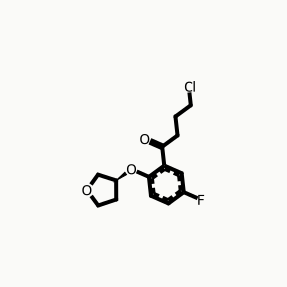 O=C(CCCCl)c1cc(F)ccc1O[C@H]1CCOC1